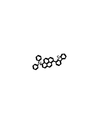 c1ccc(N(c2ccccc2)c2ccc3ccc4c(-c5cccc6c5sc5ccccc56)ccc5ccc2c3c54)cc1